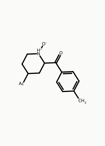 CC(=O)C1CC[NH+]([O-])C(C(=O)c2ccc(C)cc2)C1